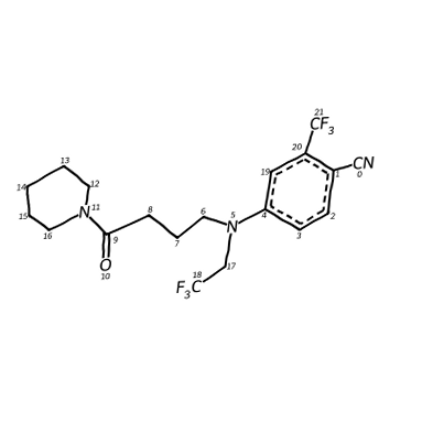 N#Cc1ccc(N(CCCC(=O)N2CCCCC2)CC(F)(F)F)cc1C(F)(F)F